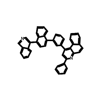 c1ccc(-c2cc(-c3cccc(-c4ccc(-c5cncc6ccccc56)c5ccccc45)c3)c3c(ccc4ccccc43)n2)cc1